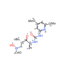 CCCC[C@@H](CN(O)C=O)C(=O)[C@@H](NC(=O)Nc1cc(OC)cc(OC)n1)C(C)C